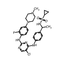 CC(NS(=O)(=O)C1CC1)c1ccc(Nc2nc(Nc3ccc(N4CCN(C)CC4)cc3F)ncc2Cl)cc1